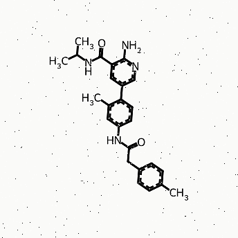 Cc1ccc(CC(=O)Nc2ccc(-c3cnc(N)c(C(=O)NC(C)C)c3)c(C)c2)cc1